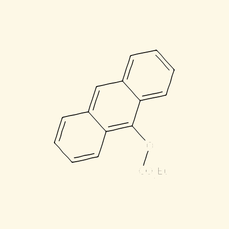 CCOC(=O)Oc1c2ccccc2cc2ccccc12